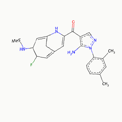 CSNC1C=C2CC(=CC1F)C=C(C(=O)c1cnn(-c3ccc(C)cc3C)c1N)N2